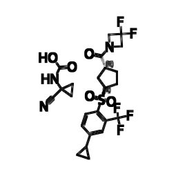 N#CC1(NC(=O)O)CC1.O=C([C@@H]1CC[C@@H](S(=O)(=O)c2ccc(C3CC3)cc2C(F)(F)F)C1)N1CC(F)(F)C1